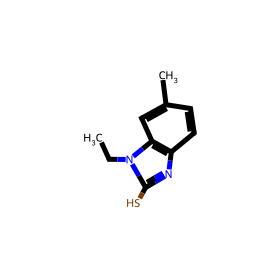 CCn1c(S)nc2ccc(C)cc21